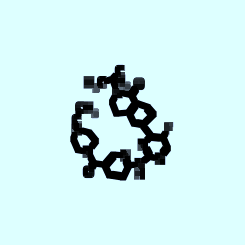 CCN1CCN(C(=O)c2ccc(Nc3ncc(F)c(-c4ccc5c(c4)CCN(C(C)C)C5=O)n3)nc2)CC1